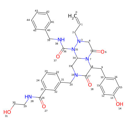 C=CCN1CC(=O)N2C(Cc3ccc(O)cc3)C(=O)N(Cc3cccc(C(=O)NCCO)c3)CC2N1C(=O)NCc1ccccc1